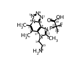 Cc1c(C)n2nnnc2c2nc(C)n(CCN)c12.O=C(O)C(F)(F)F